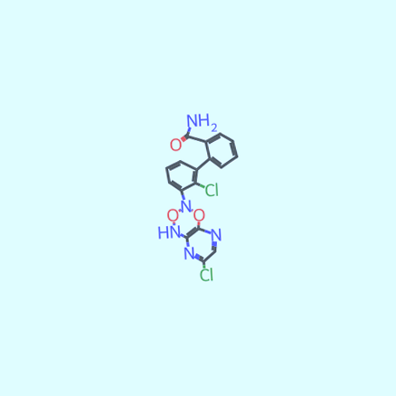 NC(=O)c1ccccc1-c1cccc(-n2o[nH]c3nc(Cl)cnc3o2)c1Cl